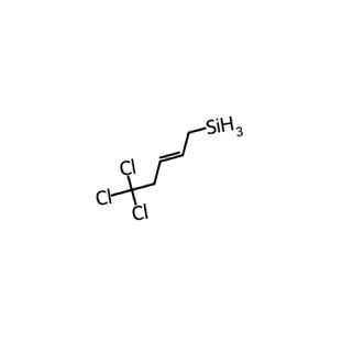 [SiH3]C/C=C/CC(Cl)(Cl)Cl